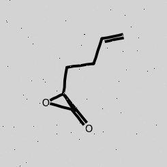 C=CCCC1OC1=O